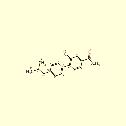 CC(=O)c1ccc(-c2ccc(CC(C)C)cc2)c(C)c1